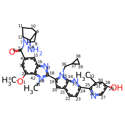 COc1cc(C(=O)N2CC3CCC2C3N)cc2nc(-c3cc4ccc(-c5ncc(O)cc5C)nc4n3CC3CC3)n(C)c12